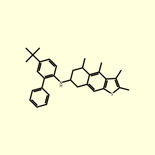 Cc1sc2cc3c(c(C)c2c1C)C(C)CC(Nc1ccc(C(C)(C)C)cc1-c1ccccc1)C3